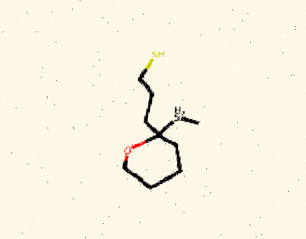 C[SiH2]C1(CCCS)CCCCO1